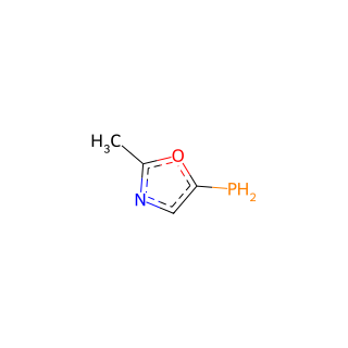 Cc1ncc(P)o1